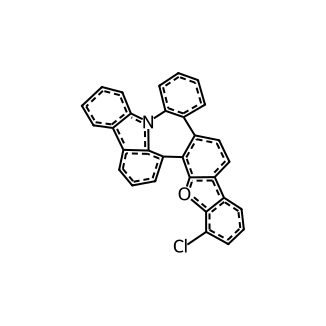 Clc1cccc2c1oc1c3c(ccc12)-c1ccccc1-n1c2ccccc2c2cccc-3c21